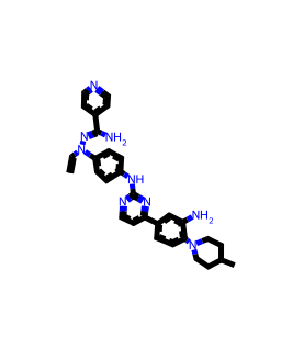 C=CN(/N=C(\N)c1ccncc1)c1ccc(Nc2nccc(-c3ccc(N4CCC(C)CC4)c(N)c3)n2)cc1